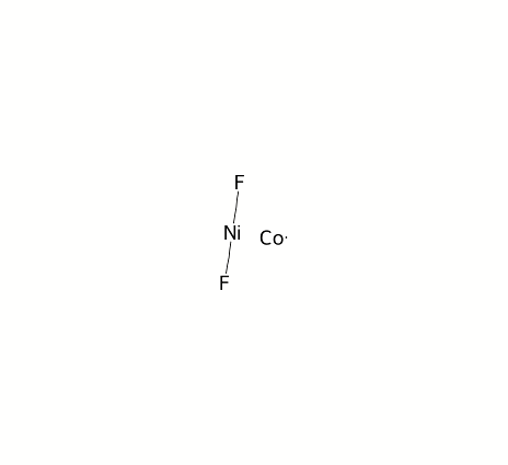 [Co].[F][Ni][F]